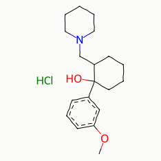 COc1cccc(C2(O)CCCCC2CN2CCCCC2)c1.Cl